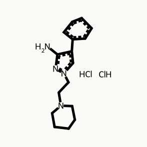 Cl.Cl.Nc1nn(CCN2CCCCC2)cc1-c1ccccc1